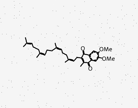 COc1cc2c(cc1OC)C(=O)C(CC=C(C)CCC=C(C)CCC=C(C)CCC=C(C)C)=C(C)C2=O